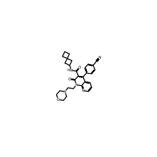 N#Cc1ccc(-c2c(C(=O)NC3CC4(CCC4)C3)c(=O)n(CCN3CCOCC3)c3ncccc23)cc1